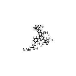 CNCC(O)COc1cccc(-c2nc(-c3c(C)noc3C)cc(N(C)C3CCN(C(=O)OC)CC3)n2)c1